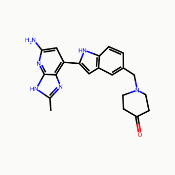 Cc1nc2c(-c3cc4cc(CN5CCC(=O)CC5)ccc4[nH]3)cc(N)nc2[nH]1